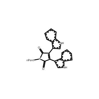 CCCCCN1C(=O)C(c2c[nH]c3ccccc23)=C(c2c[nH]c3ccccc23)C1=O